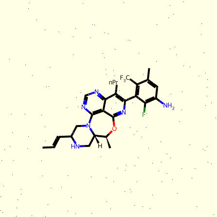 C/C=C/C1CN2c3ncnc4c(CCC)c(-c5c(F)c(N)cc(C)c5C(F)(F)F)nc(c34)O[C@@H](C)[C@@H]2CN1